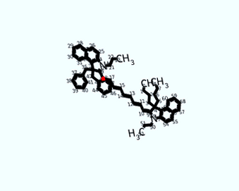 CCCCC1(CCCC)\C(=C/C=C/C=C/C=C/C=C/C2=[N+](CCC)c3ccc4ccccc4c3C2(Cc2ccccc2)Cc2ccccc2)N(CCC)c2ccc3ccccc3c21